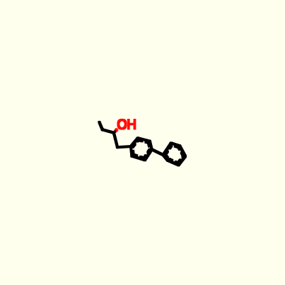 CC[C@@H](O)Cc1ccc(-c2ccccc2)cc1